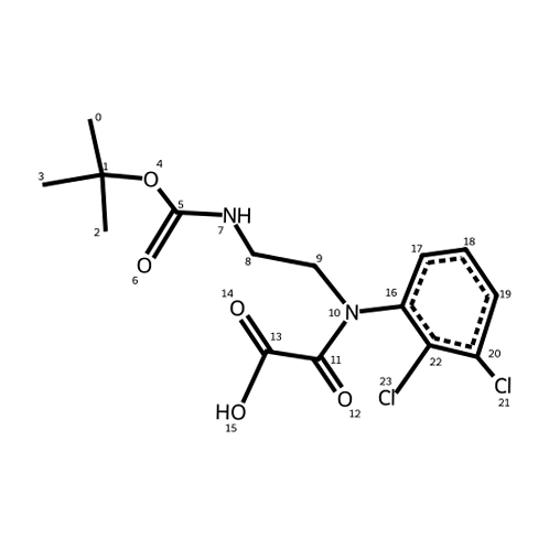 CC(C)(C)OC(=O)NCCN(C(=O)C(=O)O)c1cccc(Cl)c1Cl